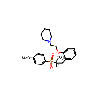 CCOC(=O)[C@](C)(Cc1ccccc1OCCN1CCCCC1)S(=O)(=O)c1ccc(OC)cc1